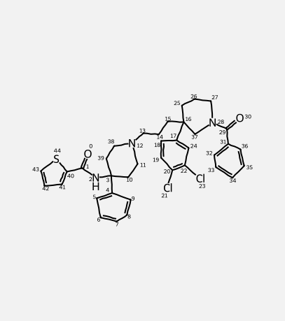 O=C(NC1(c2ccccc2)CCN(CCCC2(c3ccc(Cl)c(Cl)c3)CCCN(C(=O)c3ccccc3)C2)CC1)c1cccs1